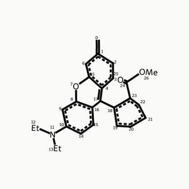 C=c1ccc2c(c1)Oc1cc(N(CC)CC)ccc1C=2c1ccccc1C(=O)OC